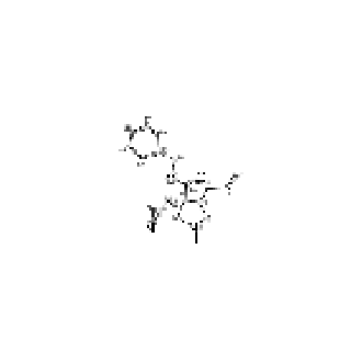 C=CC[C@H]1CNC[C@@]1(N=[N+]=[N-])C(=O)OCc1ccccc1